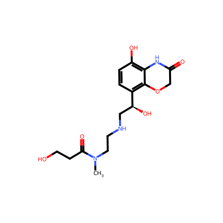 CN(CCNC[C@H](O)c1ccc(O)c2c1OCC(=O)N2)C(=O)CCO